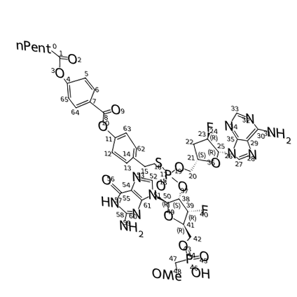 CCCCCC(=O)Oc1ccc(C(=O)Oc2ccc(CSP(=O)(OC[C@@H]3C[C@@H](F)[C@H](n4cnc5c(N)ncnc54)O3)O[C@@H]3[C@H](F)[C@@H](COP(=O)(O)COC)O[C@H]3n3cnc4c(=O)[nH]c(N)nc43)cc2)cc1